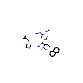 C=CC(=O)N1CCN(C2=NC(OC[C@@H]3CCCN3CC3CC3)=NC3CN(c4cccc5ccccc45)CCC23)CC1CC#N